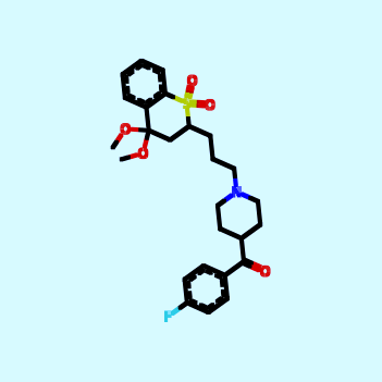 COC1(OC)CC(CCCN2CCC(C(=O)c3ccc(F)cc3)CC2)S(=O)(=O)c2ccccc21